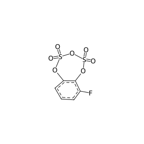 O=S1(=O)Oc2cccc(F)c2OS(=O)(=O)O1